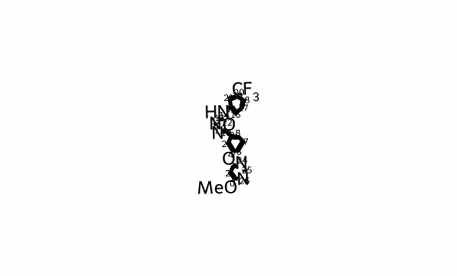 COc1cc(Oc2cccc(-c3nnc(Nc4cccc(C(F)(F)F)c4)o3)c2)ncn1